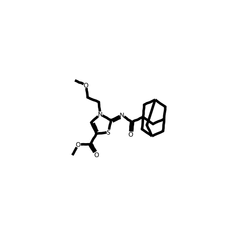 COCCn1cc(C(=O)OC)sc1=NC(=O)C12CC3CC(CC(C3)C1)C2